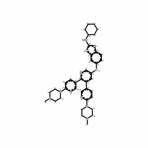 CN1CCN(c2ccc(-c3cc(Oc4ccc5nc(NC6CCCCC6)sc5c4)cnc3-c3ccc(N4CCN(C)CC4)nc3)cn2)CC1